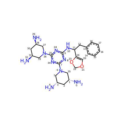 N[C@@H]1C[C@H](N)CN(c2nc(NC(Cc3ccccc3)C3=COCO3)nc(N3C[C@H](N)C[C@H](N)C3)n2)C1